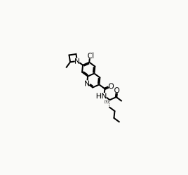 CCCC[C@H](NC(=O)c1cnc2cc(N3CCC3C)c(Cl)cc2c1)C(C)=O